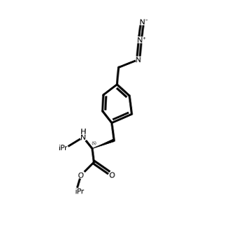 CC(C)N[C@@H](Cc1ccc(CN=[N+]=[N-])cc1)C(=O)OC(C)C